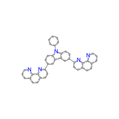 c1ccc(-n2c3ccc(-c4ccc5ccc6cccnc6c5n4)cc3c3cc(-c4ccc5ccc6cccnc6c5n4)ccc32)cc1